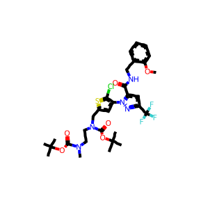 COc1ccccc1CNC(=O)c1cc(C(F)(F)F)nn1-c1cc(CN(CCN(C)C(=O)OC(C)(C)C)C(=O)OC(C)(C)C)sc1Cl